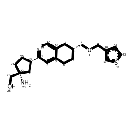 C=C(/C=C1/CC[C@@H](COCc2ccsc2)C/C1=C/C)[C@H]1CC[C@](N)(CO)C1